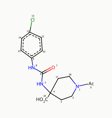 CC(=O)N1CCC(NC(=O)Nc2ccc(Cl)cc2)(C(=O)O)CC1